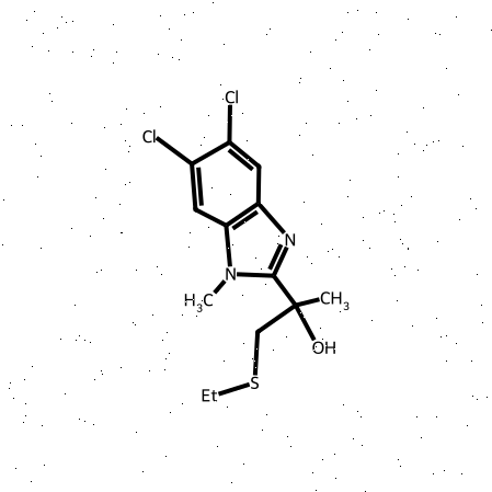 CCSCC(C)(O)c1nc2cc(Cl)c(Cl)cc2n1C